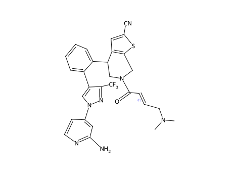 CN(C)C/C=C/C(=O)N1Cc2sc(C#N)cc2C(c2ccccc2-c2cn(-c3ccnc(N)c3)nc2C(F)(F)F)C1